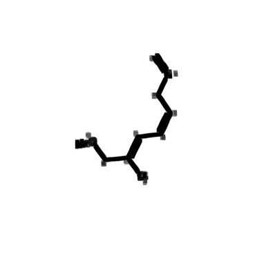 C=NC/C=C\C=C(/CC)COC